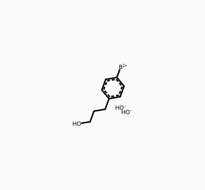 [B+2]c1ccc(CCCO)cc1.[OH-].[OH-]